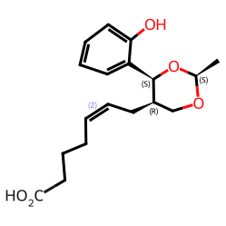 C[C@H]1OC[C@@H](C/C=C\CCCC(=O)O)[C@@H](c2ccccc2O)O1